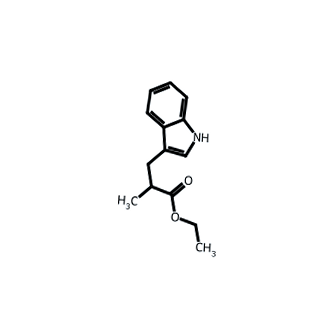 CCOC(=O)C(C)Cc1c[nH]c2ccccc12